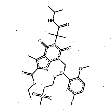 CCOC(=O)c1sc2c(c1C)c(=O)n(C(C)(C)C(=O)NC(C)C)c(=O)n2C[C@H](OCCS(C)(=O)=O)c1cc(F)ccc1OC